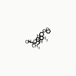 C[C@H](CCC=O)[C@H]1CC[C@H]2[C@@H]3CCC4C[C@H](OC5CCCCO5)CC[C@]4(C)[C@H]3CC[C@]12C